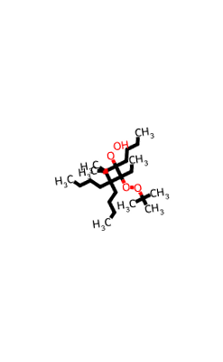 CCCCC(CC)(CCCC)C(CC)(OOC(C)(C)C)C(CC)(CCCC)OO